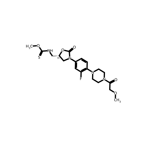 COCC(=O)N1CCN(c2ccc(N3C[C@H](CNC(=S)OC)OC3=O)cc2F)CC1